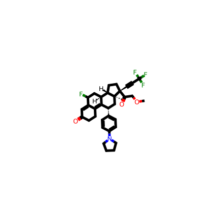 COCC(=O)[C@@]1(C#CC(F)(F)F)CC[C@H]2[C@@H]3CC(F)C4=CC(=O)CCC4=C3[C@@H](c3ccc(N4CCCC4)cc3)C[C@@]21C